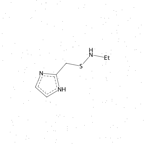 CCNSCc1ncc[nH]1